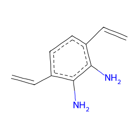 C=Cc1ccc(C=C)c(N)c1N